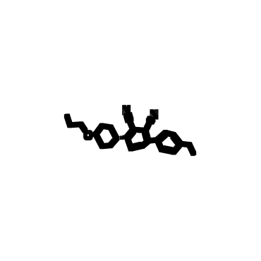 CCCO[C@H]1CC[C@H](c2ccc(-c3ccc(CC)cc3)c(C#N)c2C#N)CC1